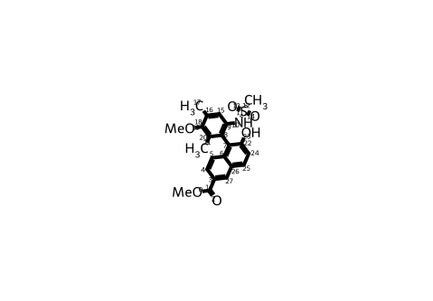 COC(=O)c1ccc2c(-c3c(NS(C)(=O)=O)cc(C)c(OC)c3C)c(O)ccc2c1